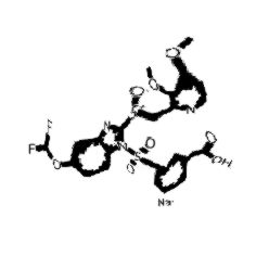 COc1ccnc(C[S+]([O-])c2nc3cc(OC(F)F)ccc3n2S(=O)(=O)c2cccc(C(=O)O)c2)c1OC.[Na]